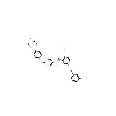 [CH]c1cccc(C#[N+]c2ccc(C)c(C(=O)Nc3cnc(Nc4ccc(N5CCN(C)CC5)cc4)nc3)c2)c1